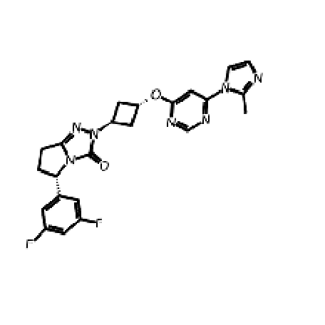 Cc1nccn1-c1cc(O[C@H]2C[C@H](n3nc4n(c3=O)[C@H](c3cc(F)cc(F)c3)CC4)C2)ncn1